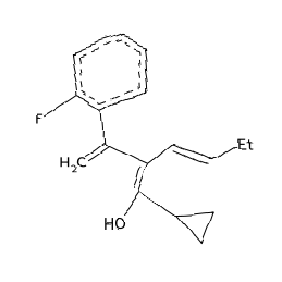 C=C(C(/C=C/CC)=C(\O)C1CC1)c1ccccc1F